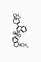 CN1CC=C(c2cn(S(=O)(=O)c3ccc4c(c3)N(C)CC4)c3ccccc23)CC1